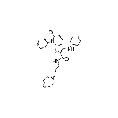 O=C(NCCCN1CCOCC1)c1sc2c(ccc(=O)n2-c2ccccc2)c1Nc1ccccc1